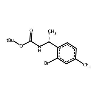 C[C@@H](NC(=O)OC(C)(C)C)c1ccc(C(F)(F)F)cc1Br